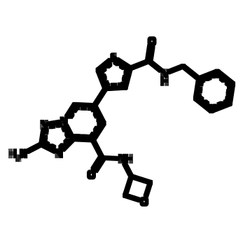 Nc1nc2c(C(=O)NC3COC3)cc(-c3csc(C(=O)NCc4ccccc4)c3)cn2n1